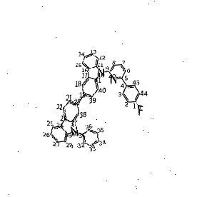 Fc1ccc(-c2cccc(-n3c4ccccc4c4cc(-c5ccc6c7ccccc7n(-c7ccccc7)c6c5)ccc43)n2)cc1